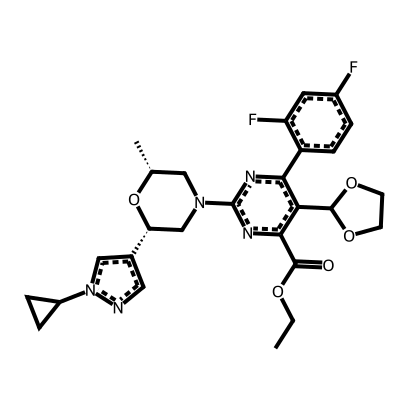 CCOC(=O)c1nc(N2C[C@@H](C)O[C@@H](c3cnn(C4CC4)c3)C2)nc(-c2ccc(F)cc2F)c1C1OCCO1